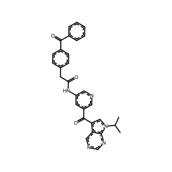 CC(C)n1cc(C(=O)c2cncc(NC(=O)Cc3ccc(C(=O)c4ccccc4)cc3)c2)c2cncnc21